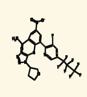 NC(=O)c1cc([N+](=O)[O-])cc(-c2ncc(C(F)(F)C(F)(F)C(F)(F)F)cc2F)c1Sc1nnnn1C1CCOC1